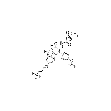 CS(=O)(=O)CC(=O)NCC1=C(c2ccc(OC(F)F)cn2)C[C@](c2ccc(OCCCC(F)(F)F)cn2)(C(F)(F)F)NC1=O